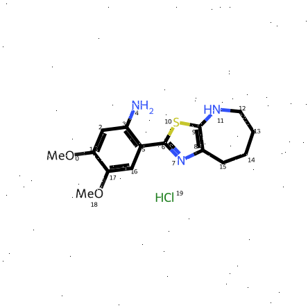 COc1cc(N)c(-c2nc3c(s2)NCCCC3)cc1OC.Cl